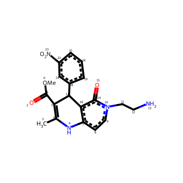 COC(=O)C1=C(C)Nc2ccn(CCN)c(=O)c2C1c1cccc([N+](=O)[O-])c1